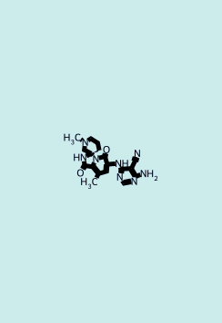 Cc1cc(Nc2ncnc(N)c2C#N)c(=O)n2c1C(=O)N[C@]21CCCN(C)C1